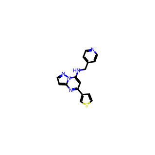 c1cc(CNc2cc(-c3ccsc3)nc3ccnn23)ccn1